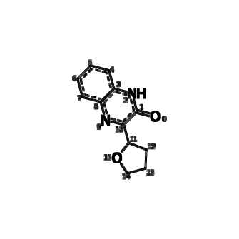 O=c1[nH]c2ccccc2nc1C1CCCO1